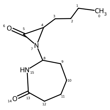 CCCCC1C(=O)N1C1CCCCC(=O)N1